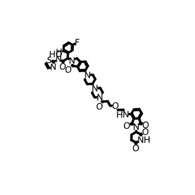 O=C1CCC(N2C(=O)c3cccc(NCCOCCC(=O)N4CCN(C5CCN(c6ccc7c(c6)C(=O)N(C(C(=O)Nc6nccs6)c6cc(F)ccc6O)C7)CC5)CC4)c3C2=O)C(=O)N1